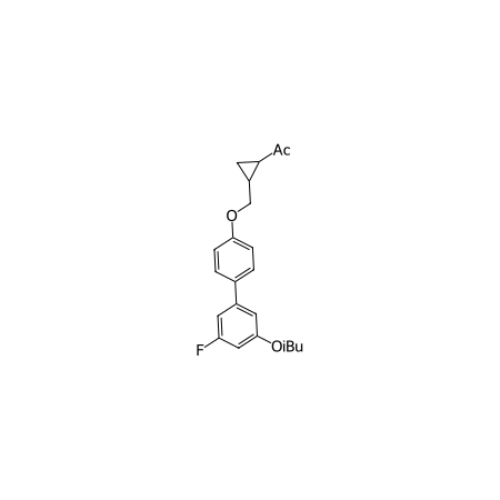 CC(=O)C1CC1COc1ccc(-c2cc(F)cc(OCC(C)C)c2)cc1